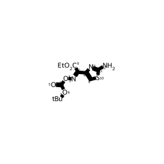 CCOC(=O)C(=NOC(=O)OC(C)(C)C)c1csc(N)n1